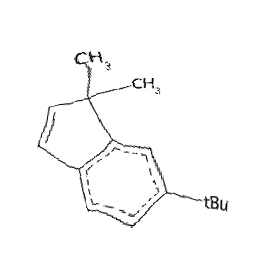 CC(C)(C)c1ccc2c(c1)C(C)(C)C=C2